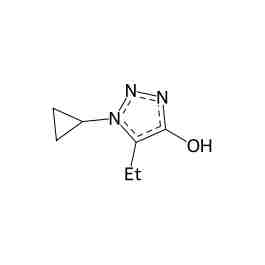 CCc1c(O)nnn1C1CC1